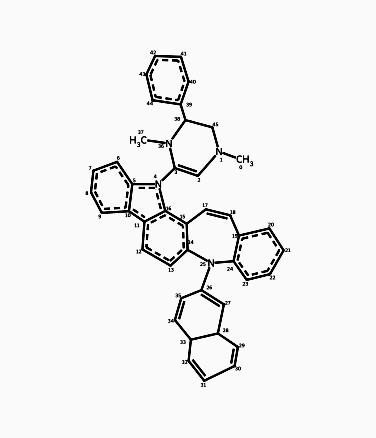 CN1C=C(n2c3ccccc3c3ccc4c(c32)C=Cc2ccccc2N4C2=CC3C=CC=CC3C=C2)N(C)C(c2ccccc2)C1